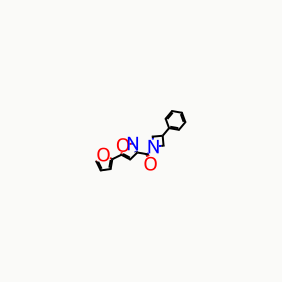 O=C(c1cc(-c2ccco2)on1)N1CC(c2ccccc2)C1